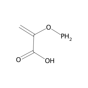 C=C(OP)C(=O)O